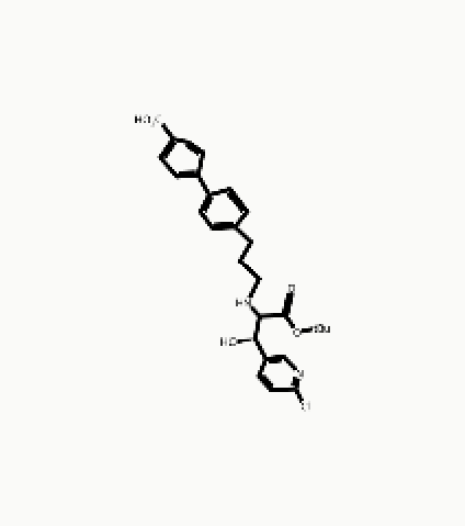 CC(C)(C)OC(=O)C(NCCCc1ccc(-c2ccc(C(=O)O)cc2)cc1)[C@H](O)c1ccc(Cl)nc1